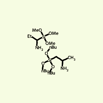 CCC(N)[Si](OC)(OC)OC.CCCCO[Si](CC(C)N)(OCCCC)OCCCC